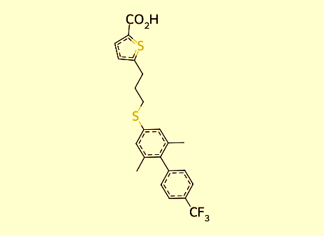 Cc1cc(SCCCc2ccc(C(=O)O)s2)cc(C)c1-c1ccc(C(F)(F)F)cc1